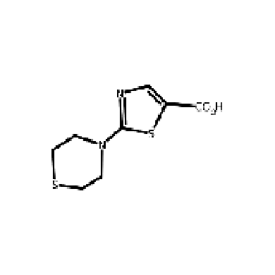 O=C(O)c1cnc(N2CCSCC2)s1